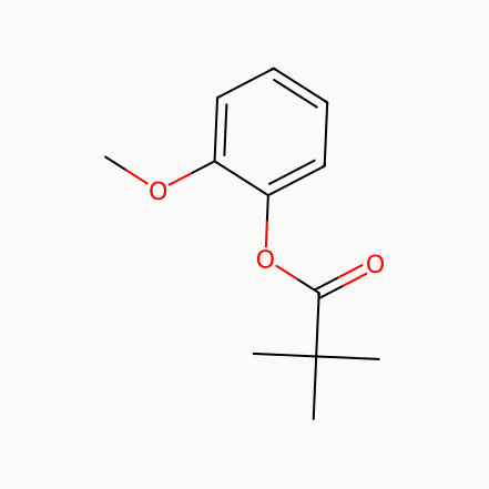 COc1ccccc1OC(=O)C(C)(C)C